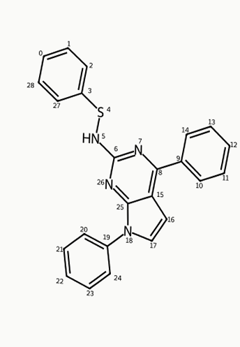 c1ccc(SNc2nc(-c3ccccc3)c3ccn(-c4ccccc4)c3n2)cc1